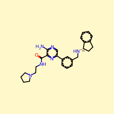 Nc1ncc(-c2cccc(CN[C@H]3CCc4ccccc43)c2)nc1C(=O)NCCN1CCCC1